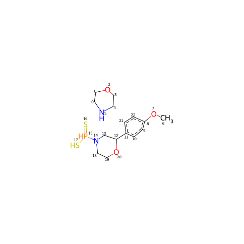 C1COCCN1.COc1ccc(C2CN([PH](=S)S)CCO2)cc1